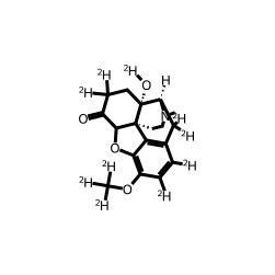 [2H]O[C@@]12CC([2H])([2H])C(=O)C3Oc4c(OC([2H])([2H])[2H])c([2H])c([2H])c5c4[C@@]31CCN(C)[C@@H]2C5([2H])[2H]